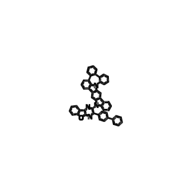 c1ccc(-c2ccc(-c3nc4oc5ccccc5c4nc3-n3c4ccccc4c4cc5c(cc43)c3cccc4c3n5-c3ccccc3-c3ccccc3-4)cc2)cc1